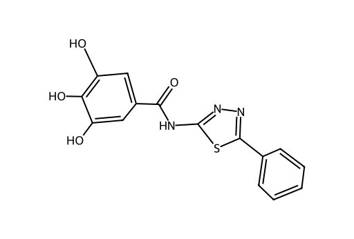 O=C(Nc1nnc(-c2ccccc2)s1)c1cc(O)c(O)c(O)c1